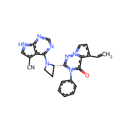 C=Cc1ccn2nc([C@@H]3CCN3c3ncnc4[nH]cc(C#N)c34)n(-c3ccccc3)c(=O)c12